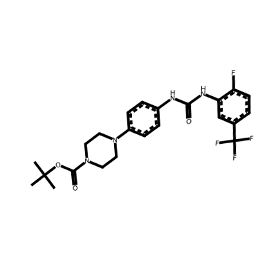 CC(C)(C)OC(=O)N1CCN(c2ccc(NC(=O)Nc3cc(C(F)(F)F)ccc3F)cc2)CC1